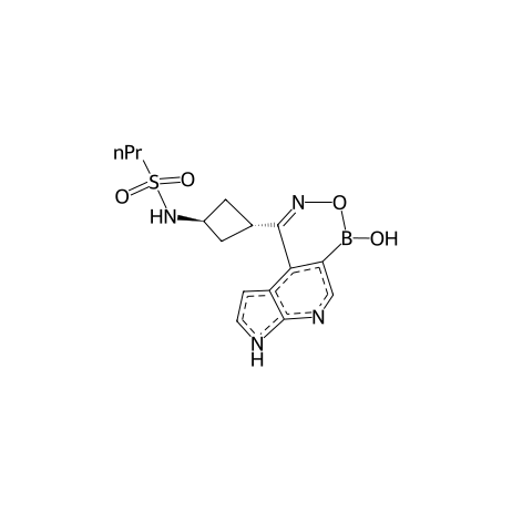 CCCS(=O)(=O)N[C@H]1C[C@H](C2=NOB(O)c3cnc4[nH]ccc4c32)C1